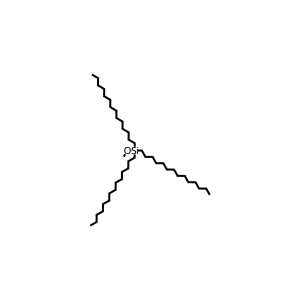 CCCCCCCCCCCCCC[Si](CCCCCCCCCCCCCC)(CCCCCCCCCCCCCC)OC